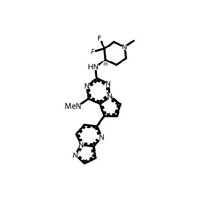 CNc1nc(N[C@@H]2CCN(C)CC2(F)F)nn2ccc(-c3ccn4nccc4n3)c12